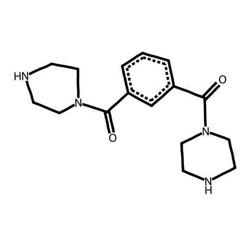 O=C(c1cccc(C(=O)N2CCNCC2)c1)N1CCNCC1